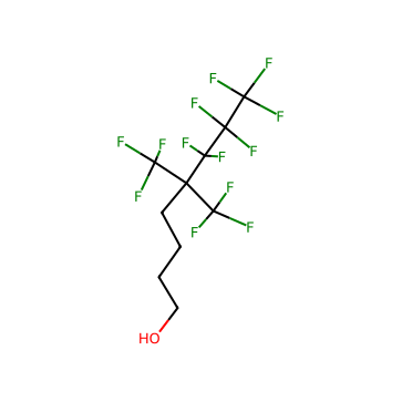 OCCCCC(C(F)(F)F)(C(F)(F)F)C(F)(F)C(F)(F)C(F)(F)F